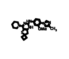 COc1cc(NC2N=C(N3CCCCC3)C3=C(CC4(CCC4)S3)N2)ccc1-n1cnc(C)c1